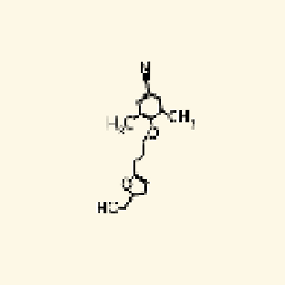 Cc1cc(C#N)cc(C)c1OCCCc1ccc(CO)o1